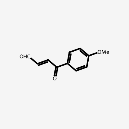 COc1ccc(C(=O)C=CC=O)cc1